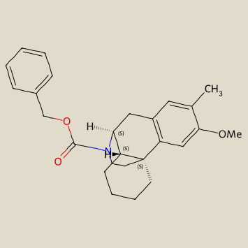 COc1cc2c(cc1C)C[C@H]1[C@H]3CCCC[C@@]23CCN1C(=O)OCc1ccccc1